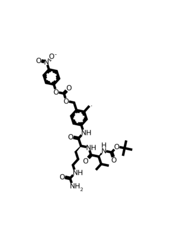 [CH2]c1cc(NC(=O)[C@H](CCCNC(N)=O)NC(=O)[C@@H](NC(=O)OC(C)(C)C)C(C)C)ccc1COC(=O)Oc1ccc([N+](=O)[O-])cc1